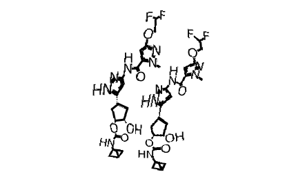 Cn1nc(OCC(F)F)cc1C(=O)Nc1cc([C@@H]2C[C@H](O)[C@H](OC(=O)NC34CC(C3)C4)C2)[nH]n1.Cn1nc(OCC(F)F)cc1C(=O)Nc1cc([C@H]2C[C@@H](O)[C@@H](OC(=O)NC34CC(C3)C4)C2)[nH]n1